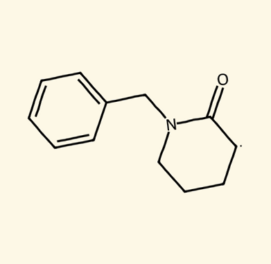 O=C1[CH]CCCN1Cc1ccccc1